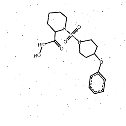 O=C(NO)C1CCCCN1S(=O)(=O)N1CCC(Oc2ccccc2)CC1